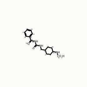 O=C(O)NC1CCC(CNC(=S)NC(=O)c2ccccc2)CC1